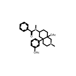 CC(=O)Oc1cccc(C23CCN(C)CC2(OC(C)=O)CCC(N(C)C(=O)c2ccccc2)C3)c1